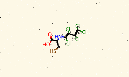 O=C(O)C(CS)N/C(Cl)=C(\Cl)C(Cl)=C(Cl)Cl